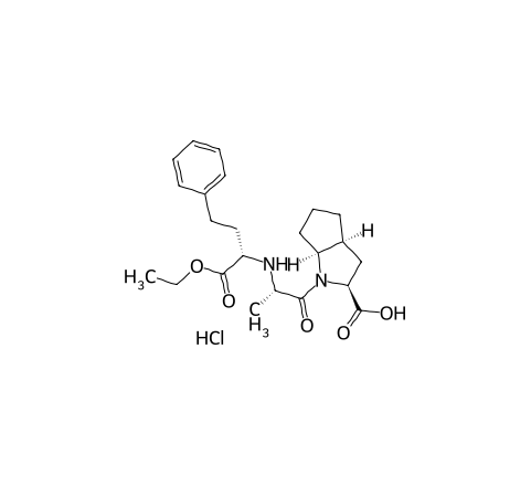 CCOC(=O)[C@H](CCc1ccccc1)N[C@@H](C)C(=O)N1[C@H](C(=O)O)C[C@@H]2CCC[C@@H]21.Cl